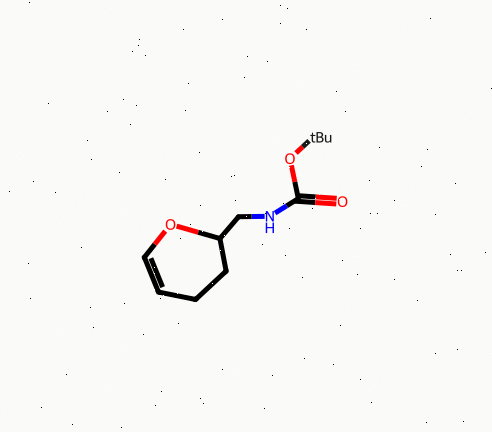 CC(C)(C)OC(=O)NCC1CCC=CO1